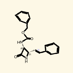 O=C(N[C@H]1C(=O)N[C@H]1/C=C/c1ccccc1)OCc1ccccc1